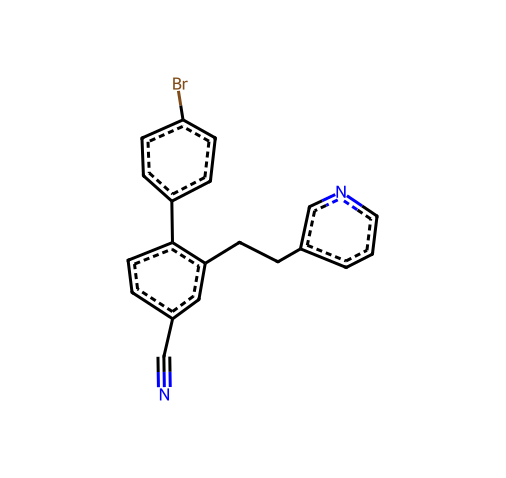 N#Cc1ccc(-c2ccc(Br)cc2)c(CCc2cccnc2)c1